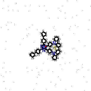 c1ccc(-c2ccc(-c3nc(-c4ccc(-c5ccccc5)cc4)nc(-c4ccc(-n5c6ccccc6c6ccc7c8ccc9c%10ccccc%10n(-c%10ccc(-c%11ccccc%11)cc%10)c9c8sc7c65)cc4)n3)cc2)cc1